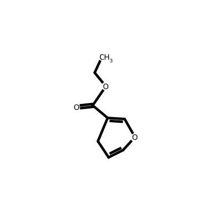 CCOC(=O)C1=COC=CC1